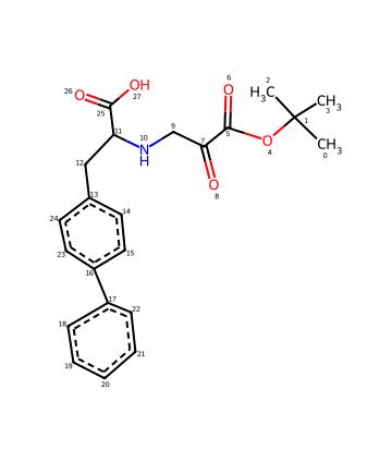 CC(C)(C)OC(=O)C(=O)CNC(Cc1ccc(-c2ccccc2)cc1)C(=O)O